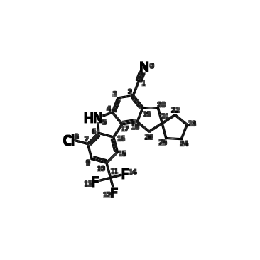 N#Cc1cc2[nH]c3c(Cl)cc(C(F)(F)F)cc3c2c2c1CC1(CCCC1)C2